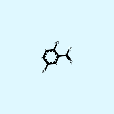 O=C(Br)c1cc(Br)ccc1Cl